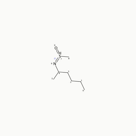 CCCCC(C)/N=[SH](\C)=O